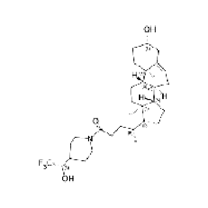 C[C@H](CCC(=O)N1CCC([C@H](O)C(F)(F)F)CC1)[C@H]1CC[C@H]2[C@@H]3CC=C4C[C@@H](O)CC[C@]4(C)[C@H]3CC[C@]12C